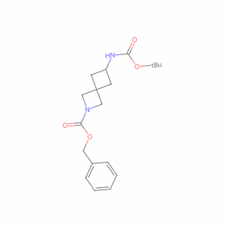 CC(C)(C)OC(=O)NC1CC2(C1)CN(C(=O)OCc1ccccc1)C2